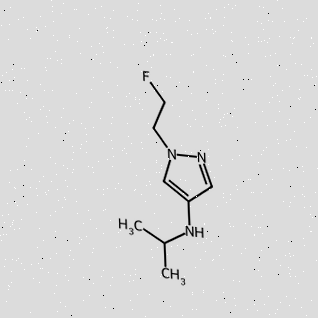 CC(C)Nc1cnn(CCF)c1